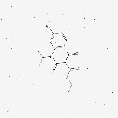 CCOC(=O)C1C(=O)c2ccc(Br)cc2N(C(C)C)C1=O